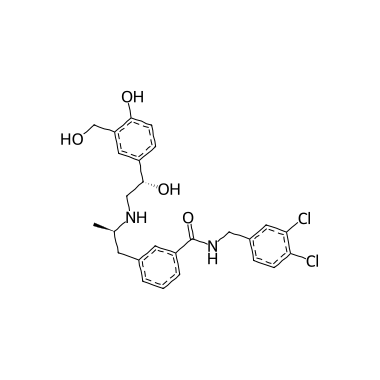 C[C@H](Cc1cccc(C(=O)NCc2ccc(Cl)c(Cl)c2)c1)NC[C@@H](O)c1ccc(O)c(CO)c1